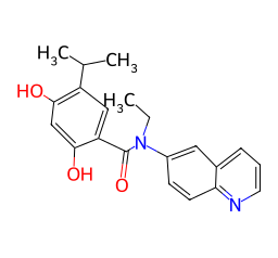 CCN(C(=O)c1cc(C(C)C)c(O)cc1O)c1ccc2ncccc2c1